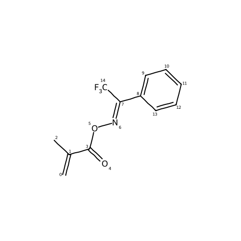 C=C(C)C(=O)ON=C(c1ccccc1)C(F)(F)F